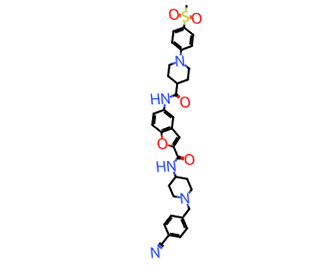 CS(=O)(=O)c1ccc(N2CCC(C(=O)Nc3ccc4oc(C(=O)NC5CCN(Cc6ccc(C#N)cc6)CC5)cc4c3)CC2)cc1